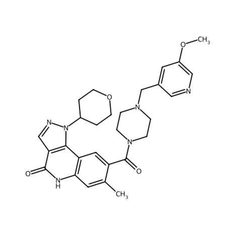 COc1cncc(CN2CCN(C(=O)c3cc4c(cc3C)[nH]c(=O)c3cnn(C5CCOCC5)c34)CC2)c1